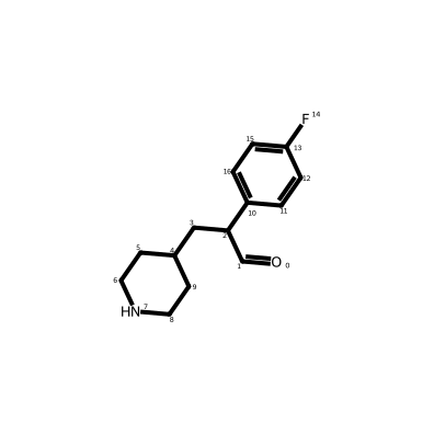 O=CC(CC1CCNCC1)c1ccc(F)cc1